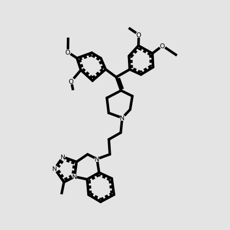 COc1ccc(C(=C2CCN(CCCN3Cc4nnc(C)n4-c4ccccc43)CC2)c2ccc(OC)c(OC)c2)cc1OC